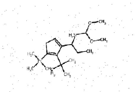 CCC([SiH2]C(OC)OC)C1=CC[C]([Pt]([CH3])([CH3])[CH3])=C1C(C)(C)C